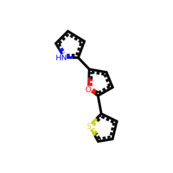 c1c[nH]c(-c2ccc(-c3cccs3)o2)c1